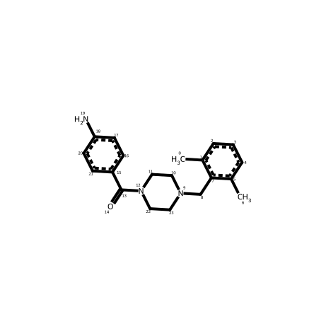 Cc1cccc(C)c1CN1CCN(C(=O)c2ccc(N)cc2)CC1